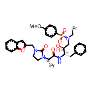 COc1ccc(S(=O)(=O)N(CC(C)C)C[C@H](O)[C@H](Cc2ccccc2)NC(=O)[C@H](C(C)C)N2CCN(Cc3cc4ccccc4o3)C2=O)cc1